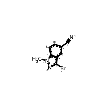 Cn1nc(Br)c2cc(C#N)ccc21